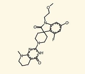 COCCN1C(=O)C2(CCN(c3nc4c(c(=O)[nH]3)CCCN4C)CC2)c2c(F)cc([O])cc21